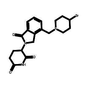 O=C1CCC(N2Cc3c(CN4CCC(Br)CC4)cccc3C2=O)C(=O)N1